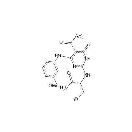 COc1cccc(Nc2nc(NC(CC(C)C)C(N)=O)[nH]c(=O)c2C(N)=O)c1